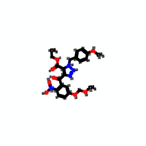 CCOC(=O)c1c(C(=O)c2cc(OCOC)ccc2[N+](=O)[O-])nnn1Cc1ccc(OC)cc1